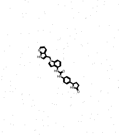 O=C1CCC(c2ccc(NC(=O)Nc3cccc4c3ccn4Cc3c[nH]c4ncccc34)cc2)N1